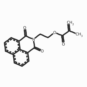 C=C(C)C(=O)OCCN1C(=O)c2cccc3cccc(c23)C1=O